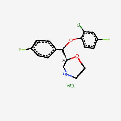 Cl.Fc1ccc(C(Oc2ccc(F)cc2Cl)[C@@H]2CNCCO2)cc1